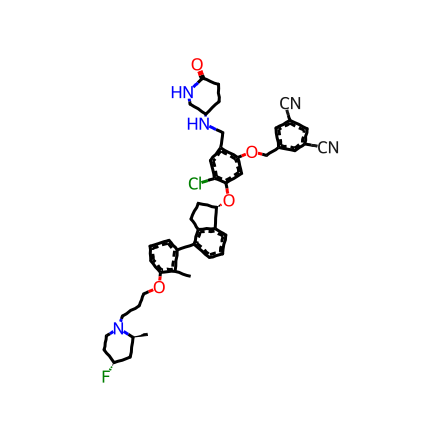 Cc1c(OCCCN2CC[C@@H](F)C[C@@H]2C)cccc1-c1cccc2c1CC[C@@H]2Oc1cc(OCc2cc(C#N)cc(C#N)c2)c(CN[C@H]2CCC(=O)NC2)cc1Cl